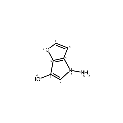 Nn1cc(O)c2occc21